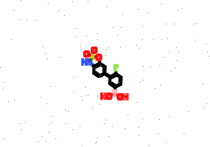 O=S1(=O)Nc2ccc(-c3cc(B(O)O)ccc3F)cc2O1